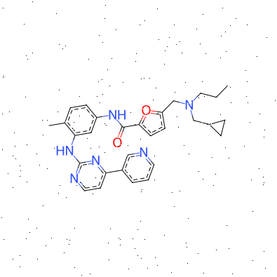 CCCN(Cc1ccc(C(=O)Nc2ccc(C)c(Nc3nccc(-c4cccnc4)n3)c2)o1)CC1CC1